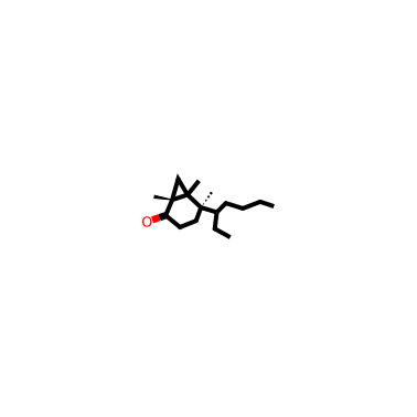 CCCCC(CC)[C@@]1(C)CCC(=O)[C@]2(C)CC21C